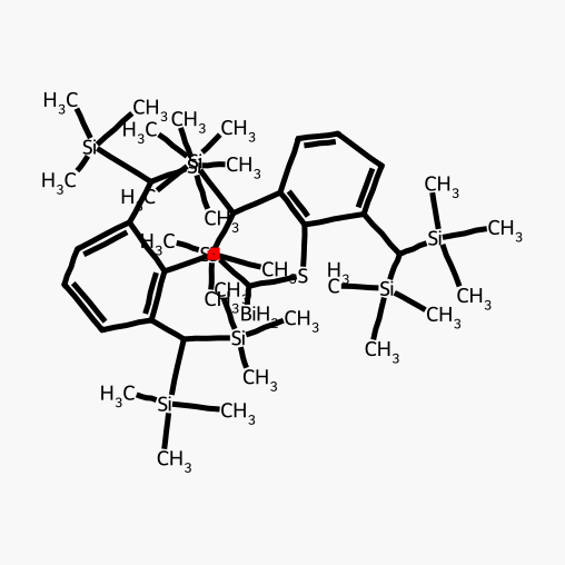 C[Si](C)(C)C(c1cccc(C([Si](C)(C)C)[Si](C)(C)C)c1S[CH]([BiH2])Sc1c(C([Si](C)(C)C)[Si](C)(C)C)cccc1C([Si](C)(C)C)[Si](C)(C)C)[Si](C)(C)C